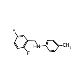 Cc1ccc(NCc2cc(F)ccc2F)cc1